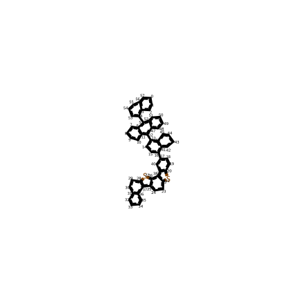 c1ccc2c(-c3c4ccccc4c(-c4ccc(-c5ccc6sc7ccc8c(sc9ccc%10ccccc%10c98)c7c6c5)c5ccccc45)c4ccccc34)cccc2c1